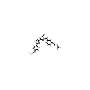 Cc1nc(-c2nc(-c3ccc(OC(F)(F)F)cc3)no2)nn1Cc1ccnc(OCCN(C)C)c1